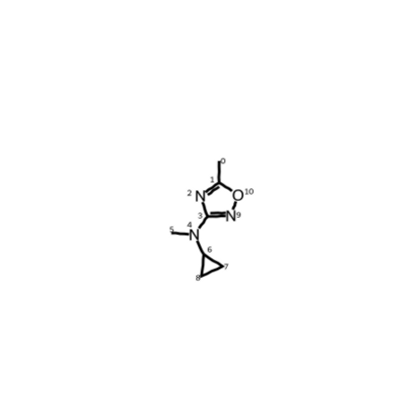 Cc1nc(N(C)C2CC2)no1